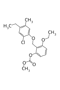 CCOc1cccc(OC(=O)OC)c1COc1cc(C)c(CC)cc1Cl